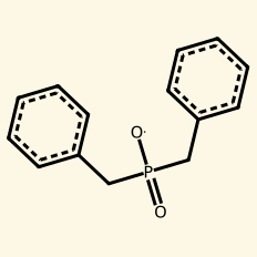 [O]P(=O)(Cc1ccccc1)Cc1ccccc1